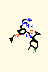 Cc1cc(C(NC(=O)c2cc(Cn3ccn(C)c3=N)cc(OCC3CC3)c2)C2CC2)ccc1F